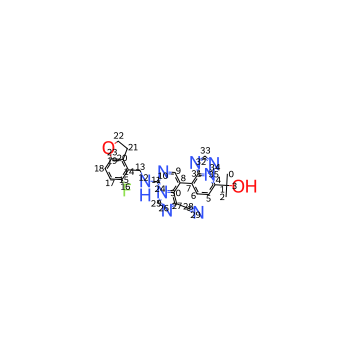 CC(C)(O)c1ccc(-c2cnc(NCc3c(F)ccc4c3CCO4)n3cnc(C#N)c23)c2ncnn12